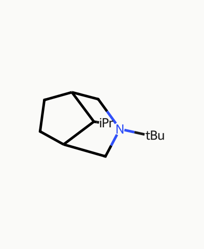 CC(C)C1C2CCC1CN(C(C)(C)C)C2